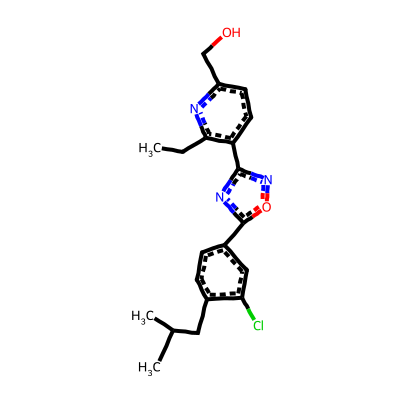 CCc1nc(CO)ccc1-c1noc(-c2ccc(CC(C)C)c(Cl)c2)n1